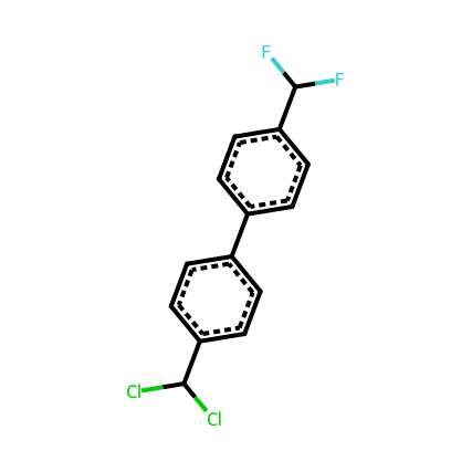 FC(F)c1ccc(-c2ccc(C(Cl)Cl)cc2)cc1